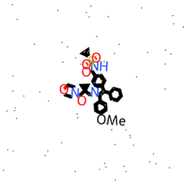 COc1ccc(-c2c(C3CCCCC3)c3ccc(C(=O)NS(=O)(=O)C4CC4)cc3n2CC2(C(=O)N3CCOCC3)CC2)cc1